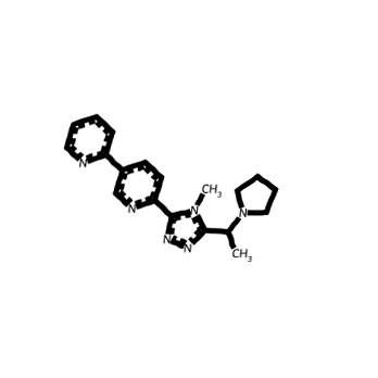 CC(c1nnc(-c2ccc(-c3ccccn3)cn2)n1C)N1CCCC1